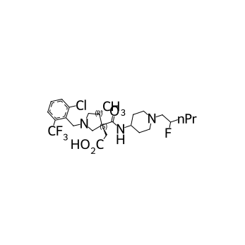 CCCC(F)CN1CCC(NC(=O)[C@]2(CC(=O)O)CN(Cc3c(Cl)cccc3C(F)(F)F)C[C@@H]2C)CC1